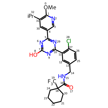 COc1ncc(-c2nc(O)nc(-c3cc(CNC(=O)C4(C(F)(F)F)CCCCC4)ccc3Cl)n2)cc1C(C)C